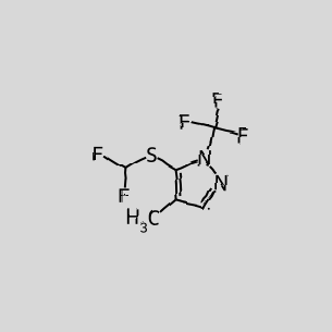 Cc1[c]nn(C(F)(F)F)c1SC(F)F